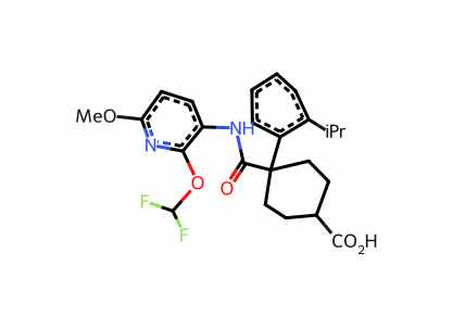 COc1ccc(NC(=O)C2(c3ccccc3C(C)C)CCC(C(=O)O)CC2)c(OC(F)F)n1